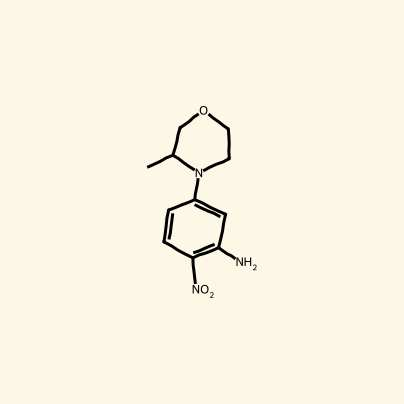 CC1COCCN1c1ccc([N+](=O)[O-])c(N)c1